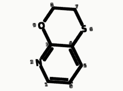 [c]1cnc2c(c1)SCCO2